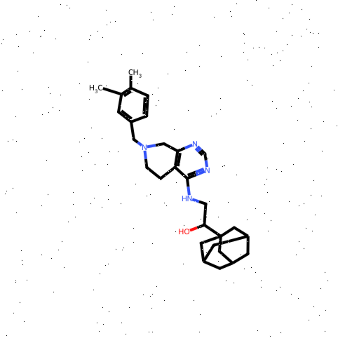 Cc1ccc(CN2CCc3c(ncnc3NCC(O)C34CC5CC(CC(C5)C3)C4)C2)cc1C